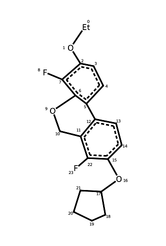 CCOc1ccc2c(c1F)OCc1c-2ccc(OC2CCCC2)c1F